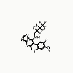 COc1cc(F)c(-c2c(C)nc3ncnn3c2NCC(F)(F)C(F)(F)C(F)(F)F)cc1F